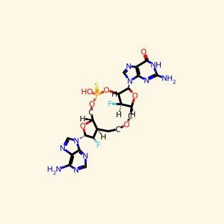 Nc1nc2c(ncn2[C@@H]2O[C@@H]3COCC[C@H]4[C@@H](F)[C@H](n5cnc6c(N)ncnc65)O[C@@H]4COP(O)(=S)O[C@@H]2[C@@H]3F)c(=O)[nH]1